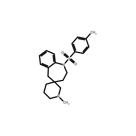 Cc1ccc(S(=O)(=O)N2CCC3(CCCN(C)C3)Cc3ccccc32)cc1